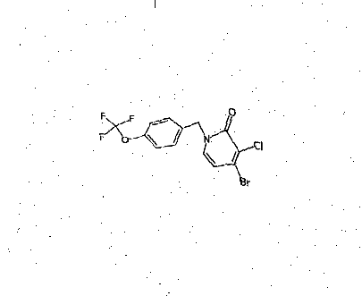 O=c1c(Cl)c(Br)ccn1Cc1ccc(OC(F)(F)F)cc1